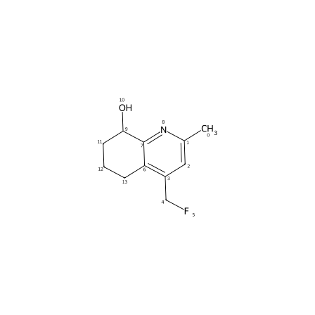 Cc1cc(CF)c2c(n1)C(O)CCC2